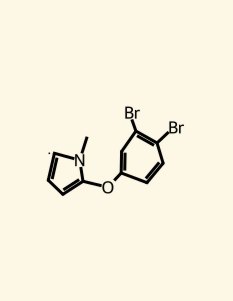 Cn1[c]ccc1Oc1ccc(Br)c(Br)c1